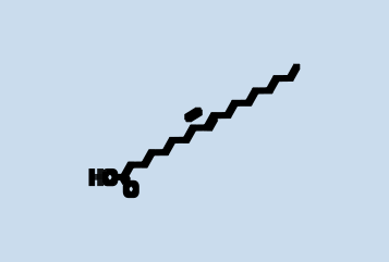 C=C.CCCCCCCCC=CCCCCCCCC(=O)O